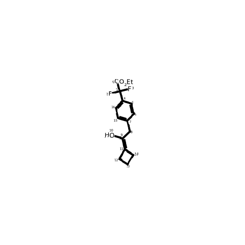 CCOC(=O)C(F)(F)c1ccc(CC(O)=C2CCC2)cc1